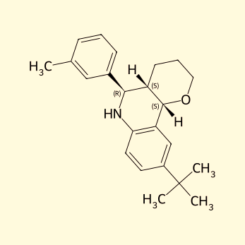 Cc1cccc([C@@H]2Nc3ccc(C(C)(C)C)cc3[C@H]3OCCC[C@H]32)c1